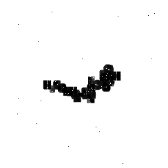 CCOCNCc1ccc(-c2cc3nccc(Oc4ccc(NC(=O)C5(C(=O)Nc6ccccc6F)CC5)cc4F)c3s2)nc1